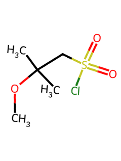 COC(C)(C)CS(=O)(=O)Cl